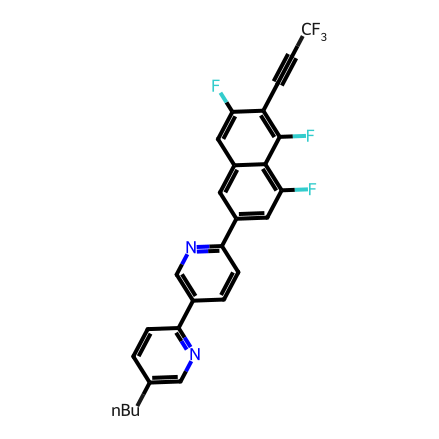 CCCCc1ccc(-c2ccc(-c3cc(F)c4c(F)c(C#CC(F)(F)F)c(F)cc4c3)nc2)nc1